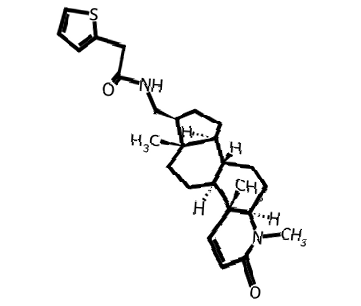 CN1C(=O)C=C[C@]2(C)[C@H]3CC[C@]4(C)[C@@H](CNC(=O)Cc5cccs5)CC[C@H]4[C@@H]3CC[C@@H]12